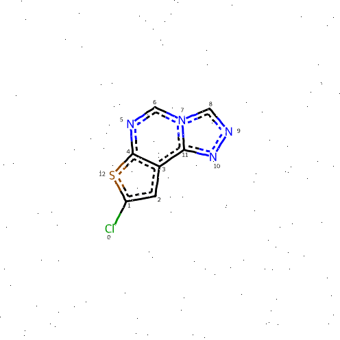 Clc1cc2c(ncn3cnnc23)s1